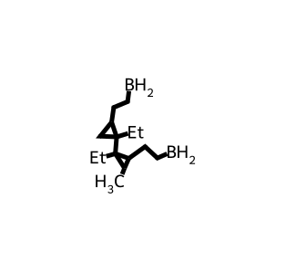 BCCC1CC1(CC)C1(CC)C(C)C1CCB